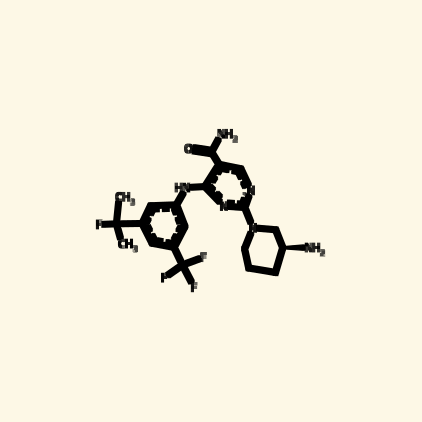 CC(C)(F)c1cc(Nc2nc(N3CCC[C@H](N)C3)ncc2C(N)=O)cc(C(F)(F)F)c1